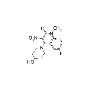 Cn1c(=O)c([N+](=O)[O-])c(N2CCC(O)CC2)c2cc(F)ccc21